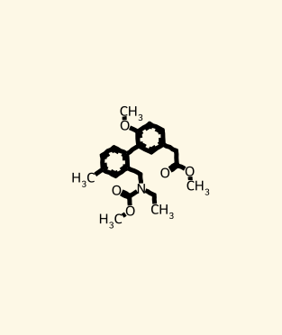 CCN(Cc1cc(C)ccc1-c1cc(CC(=O)OC)ccc1OC)C(=O)OC